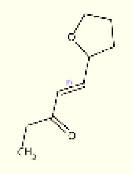 CCC(=O)/C=C/C1CCCO1